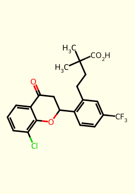 CC(C)(CCc1cc(C(F)(F)F)ccc1C1CC(=O)c2cccc(Cl)c2O1)C(=O)O